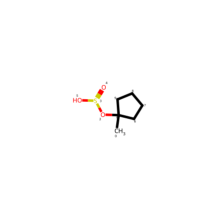 CC1(OS(=O)O)CCCC1